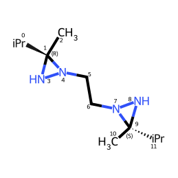 CC(C)[C@]1(C)NN1CCN1N[C@]1(C)C(C)C